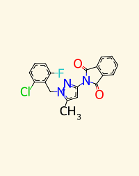 Cc1cc(N2C(=O)c3ccccc3C2=O)nn1Cc1c(F)cccc1Cl